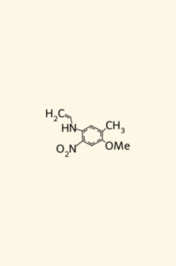 C=CNc1cc(C)c(OC)cc1[N+](=O)[O-]